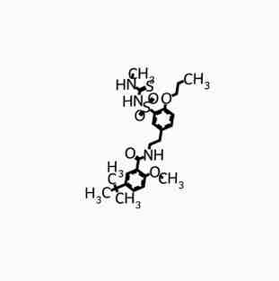 CCCOc1ccc(CCNC(=O)c2cc(C(C)(C)C)ccc2OC)cc1S(=O)(=O)NC(=S)NC